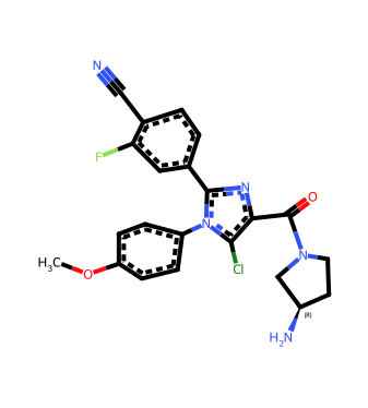 COc1ccc(-n2c(-c3ccc(C#N)c(F)c3)nc(C(=O)N3CC[C@@H](N)C3)c2Cl)cc1